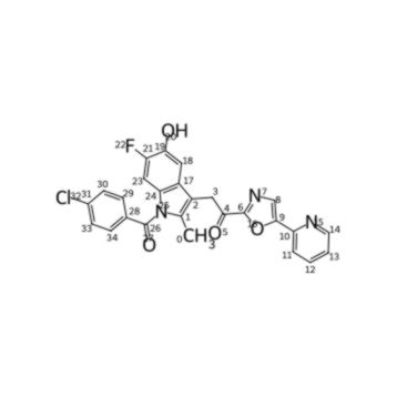 Cc1c(CC(=O)c2ncc(-c3ccccn3)o2)c2cc(O)c(F)cc2n1C(=O)c1ccc(Cl)cc1